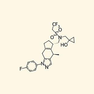 C[C@@H]1C2=C(CC[C@@H]2CN(CC2(O)CC2)S(=O)(=O)CC(F)(F)F)Cc2c1cnn2-c1ccc(F)cc1